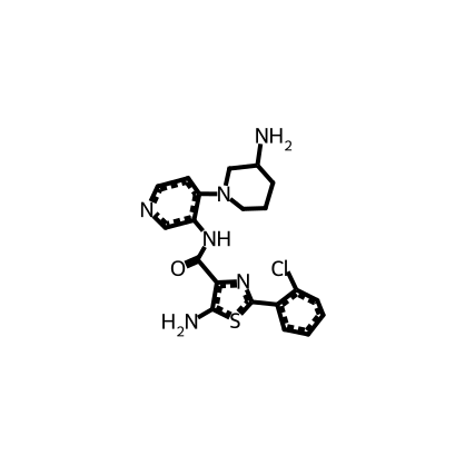 Nc1sc(-c2ccccc2Cl)nc1C(=O)Nc1cnccc1N1CCCC(N)C1